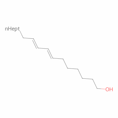 CCCCCCCC/C=C/C=C/CCCCCCO